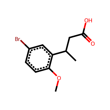 COc1ccc(Br)cc1C(C)CC(=O)O